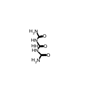 NC(=O)NC(=O)NC(N)=O.[HH]